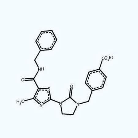 CCOC(=O)c1ccc(CN2CCN(c3nc(C)c(C(=O)NCc4ccccc4)s3)C2=O)cc1